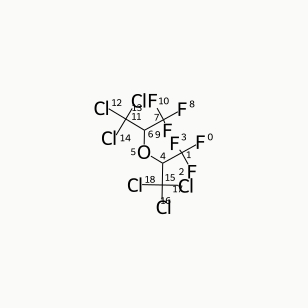 FC(F)(F)C(OC(C(F)(F)F)C(Cl)(Cl)Cl)C(Cl)(Cl)Cl